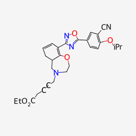 CCOC(=O)CCCCN1CCOC2=C(c3noc(-c4ccc(OC(C)C)c(C#N)c4)n3)C=CCC2C1